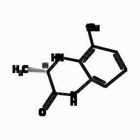 C[C@@H]1Nc2c(cccc2C(C)(C)C)NC1=O